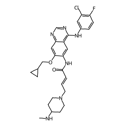 CNC1CCN(CC=CC(=O)Nc2cc3c(Nc4ccc(F)c(Cl)c4)ncnc3cc2OCC2CC2)CC1